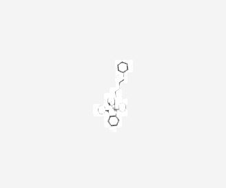 O=C1c2ccccc2C(=O)N1OCCC/C=C/c1ccccc1